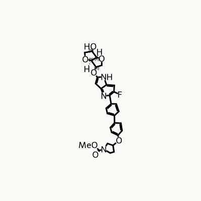 COC(=O)N1CCC(Oc2ccc(-c3ccc(-c4nc5cc(O[C@@H]6CO[C@H]7[C@@H]6OC[C@H]7O)[nH]c5cc4F)cc3)cc2)C1